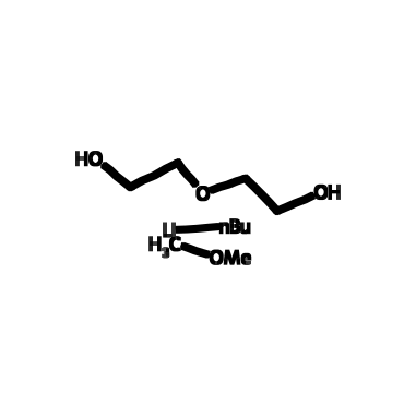 COC.OCCOCCO.[Li][CH2]CCC